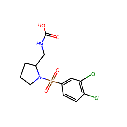 O=C(O)NCC1CCCN1S(=O)(=O)c1ccc(Cl)c(Cl)c1